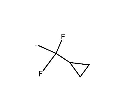 [CH2]C(F)(F)C1CC1